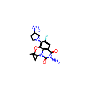 CCOc1c(N2CCC(N)C2)c(F)cc2c(=O)n(N)c(=O)n(C3CC3)c12